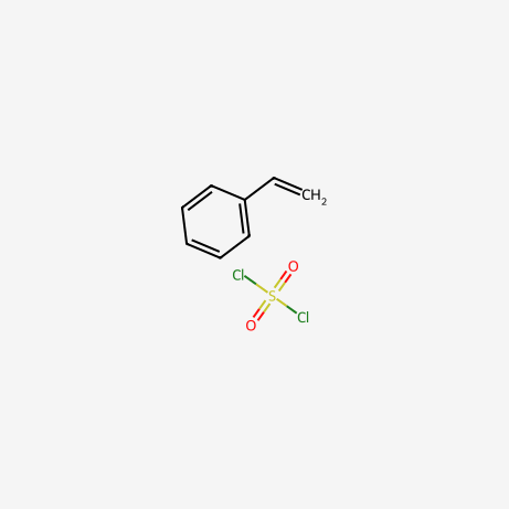 C=Cc1ccccc1.O=S(=O)(Cl)Cl